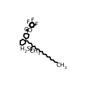 CCCCCCCCCCCCCCC(CCCC1([C@H]2CC[C@H](C(=O)Oc3cc(F)c(F)c(F)c3)CC2)CCCCC1)[SiH2]C